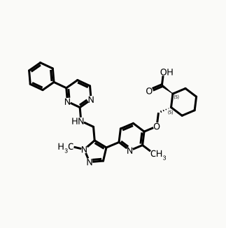 Cc1nc(-c2cnn(C)c2CNc2nccc(-c3ccccc3)n2)ccc1OC[C@H]1CCCC[C@@H]1C(=O)O